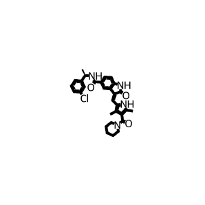 Cc1[nH]c(C=C2C(=O)Nc3ccc(C(=O)N[C@H](C)c4cccc(Cl)c4)cc32)c(C)c1C(=O)N1CCCCC1